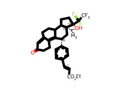 CCOC(=O)/C=C/c1ccc([C@H]2C[C@@]3(C)C(CC[C@@]3(O)C(F)(F)C(F)(F)F)C3CCC4=CC(=O)CCC4=C32)cc1